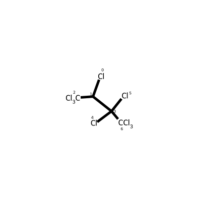 ClC(C(Cl)(Cl)Cl)C(Cl)(Cl)C(Cl)(Cl)Cl